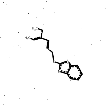 CC=C(C=CCSc1nc2ccccc2s1)CC